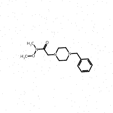 CON(C)C(=O)CN1CCN(Cc2ccccc2)CC1